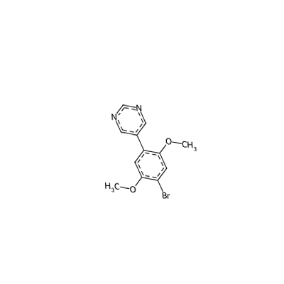 COc1cc(-c2cncnc2)c(OC)cc1Br